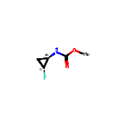 CC(C)(C)OC(=O)N[C@@H]1C[C@H]1F